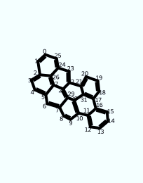 c1cc2ccc3cc4ccc5c6ccccc6c6cccc7c8cc(c1)c2c3c8c4c5c67